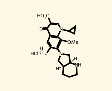 COc1c(N2C[C@@H]3CCCN[C@@H]3C2)c(F)cc2c(=O)c(C(=O)O)cn(C3CC3)c12.Cl.Cl